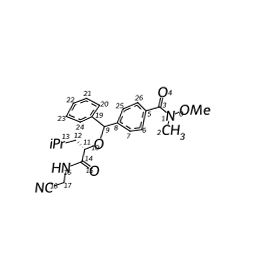 CON(C)C(=O)c1ccc(C(O[C@@H](CC(C)C)C(=O)NCC#N)c2ccccc2)cc1